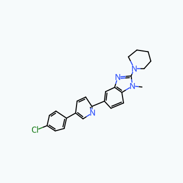 Cn1c(N2CCCCC2)nc2cc(-c3ccc(-c4ccc(Cl)cc4)cn3)ccc21